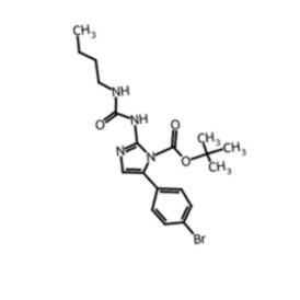 CCCCNC(=O)Nc1ncc(-c2ccc(Br)cc2)n1C(=O)OC(C)(C)C